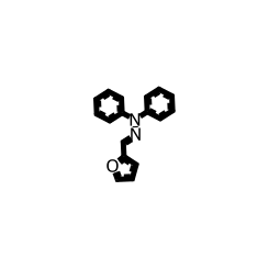 C(=NN(c1ccccc1)c1ccccc1)c1ccco1